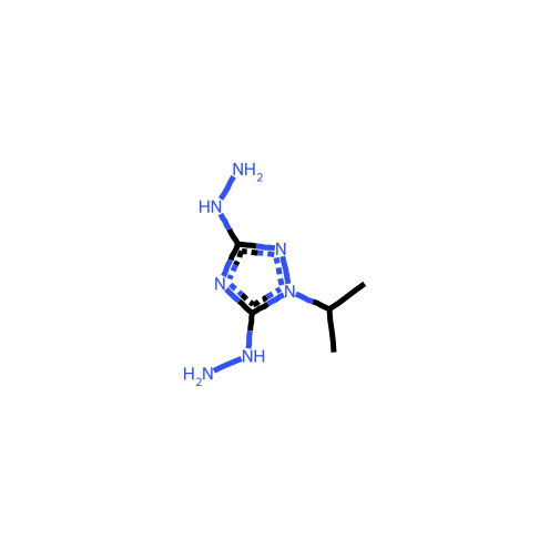 CC(C)n1nc(NN)nc1NN